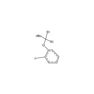 CCCCC(CC)(CC)Oc1ccccc1I